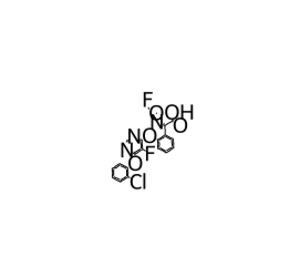 O=C(O)C(=NOCF)c1ccccc1Oc1ncnc(Oc2ccccc2Cl)c1F